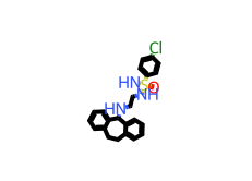 N=S(=O)(NCCNC1c2ccccc2CCc2ccccc21)c1ccc(Cl)cc1